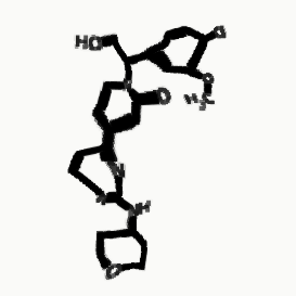 COc1cc(C(CO)n2ccc(-c3ccnc(NC4CCOCC4)n3)cc2=O)ccc1Cl